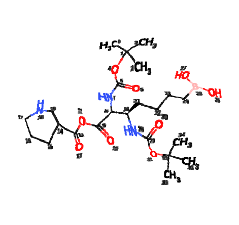 CC(C)(C)OC(=O)NC(C(=O)OC(=O)C1CCCNC1)[C@@H](CCCCB(O)O)NC(=O)OC(C)(C)C